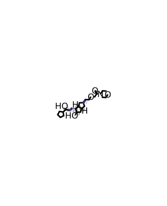 O=C(COC/C=C1\C[C@H]2C[C@@H](O)[C@H](/C=C/[C@@H](O)C3CCCC3)[C@H]2C1)N1CCOCC1